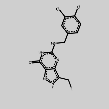 O=c1[nH]c(NCc2ccc(Cl)c(Cl)c2)nc2c(CI)[nH]nc12